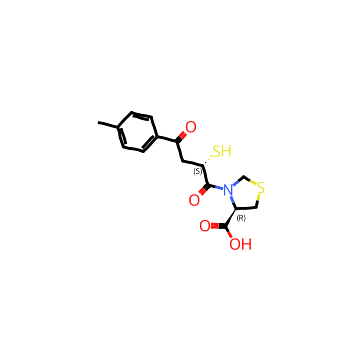 Cc1ccc(C(=O)C[C@H](S)C(=O)N2CSC[C@H]2C(=O)O)cc1